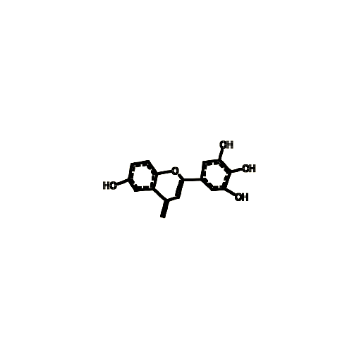 C=C1C=C(c2cc(O)c(O)c(O)c2)Oc2ccc(O)cc21